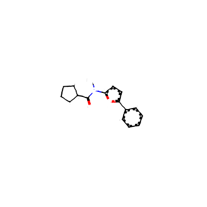 CN(C(=O)C1CCCC1)c1ccc(-c2ccccc2)o1